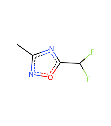 Cc1noc(C(F)F)n1